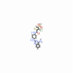 CN(C)c1nc(N[C@H]2CC[C@@H](NC(=O)c3scc(S(C)(=O)=O)c3Cl)CC2)nc2ccccc12